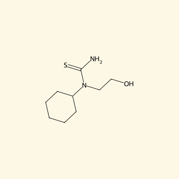 NC(=S)N(CCO)C1CCCCC1